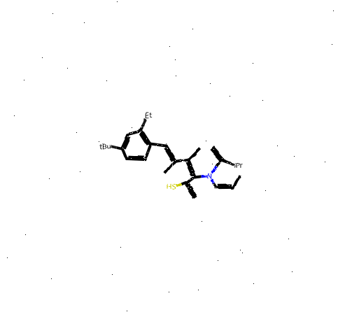 C=C(S)/C(=C(C)\C(C)=C\c1ccc(C(C)(C)C)cc1CC)N(/C=C\C)C(=C)C(C)C